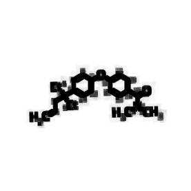 C=CCC(CC)(CC)c1ccc(Oc2ccc(C(=O)N(C)C)cc2)cc1